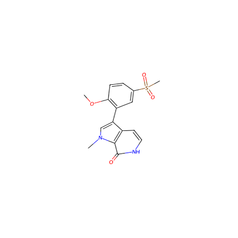 COc1ccc(S(C)(=O)=O)cc1-c1cn(C)c2c(=O)[nH]ccc12